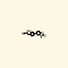 CN1C(=O)OC2=CC=C(c3ccc(CC(N)C#N)cc3)CC21